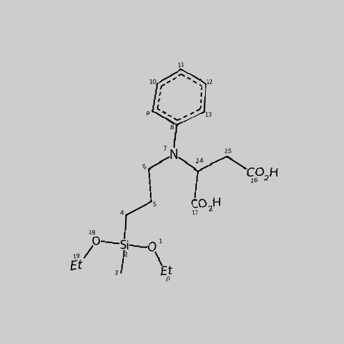 CCO[Si](C)(CCCN(c1ccccc1)C(CC(=O)O)C(=O)O)OCC